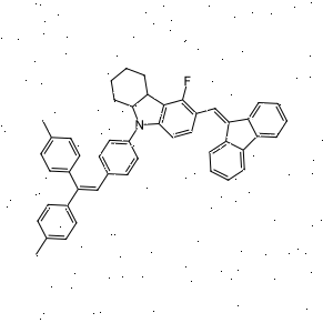 Cc1ccc(C(=Cc2ccc(N3c4ccc(C=C5c6ccccc6-c6ccccc65)c(F)c4C4CCCCC43)cc2)c2ccc(C)cc2)cc1